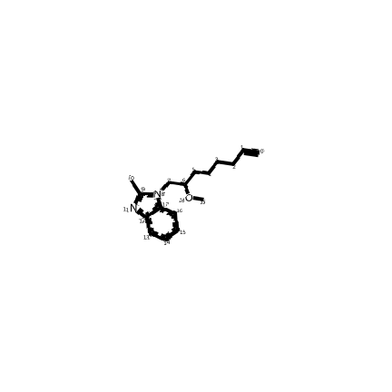 C=CCCCCC(Cn1c(C)nc2ccccc21)OC